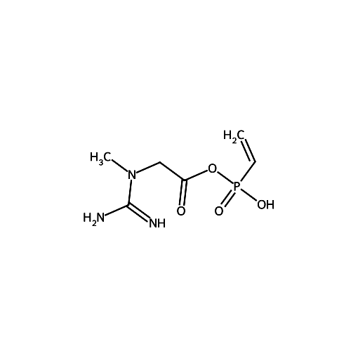 C=CP(=O)(O)OC(=O)CN(C)C(=N)N